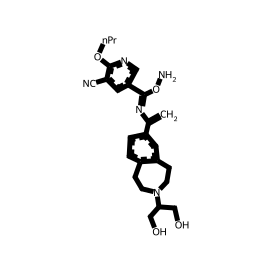 C=C(/N=C(\ON)c1cnc(OCCC)c(C#N)c1)c1ccc2c(c1)CCN(C(CO)CO)CC2